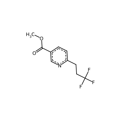 COC(=O)c1ccc(CCC(F)(F)F)nc1